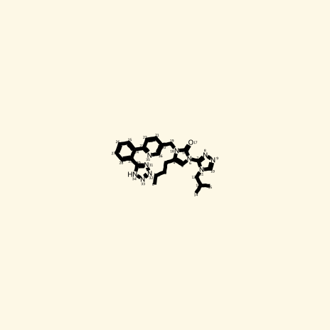 CCCCc1cn(-c2nncn2CC(C)C)c(=O)n1Cc1ccc(-c2ccccc2-c2nnn[nH]2)nc1